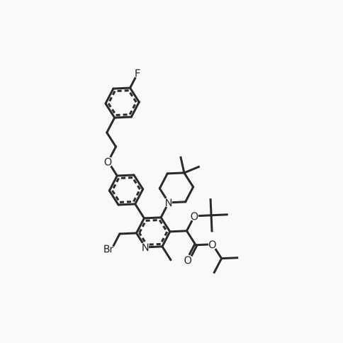 Cc1nc(CBr)c(-c2ccc(OCCc3ccc(F)cc3)cc2)c(N2CCC(C)(C)CC2)c1C(OC(C)(C)C)C(=O)OC(C)C